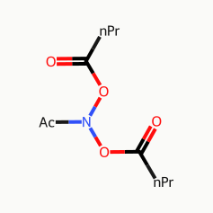 CCCC(=O)ON(OC(=O)CCC)C(C)=O